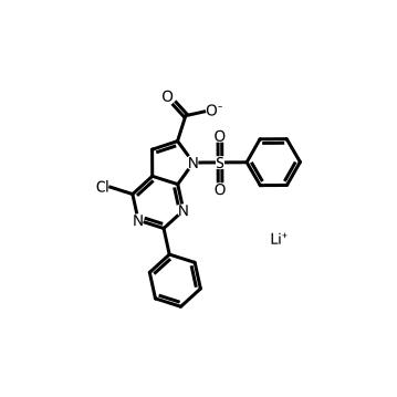 O=C([O-])c1cc2c(Cl)nc(-c3ccccc3)nc2n1S(=O)(=O)c1ccccc1.[Li+]